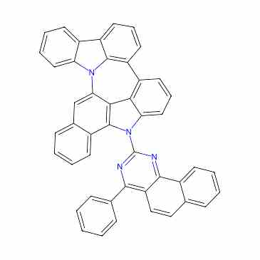 c1ccc(-c2nc(-n3c4cccc5c6cccc7c8ccccc8n(c8cc9ccccc9c3c8c54)c67)nc3c2ccc2ccccc23)cc1